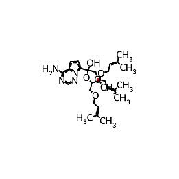 CC(C)=CCOC[C@@H](OC(O)(COCC=C(C)C)c1ccc2c(N)ncnn12)[C@H](C)OCC=C(C)C